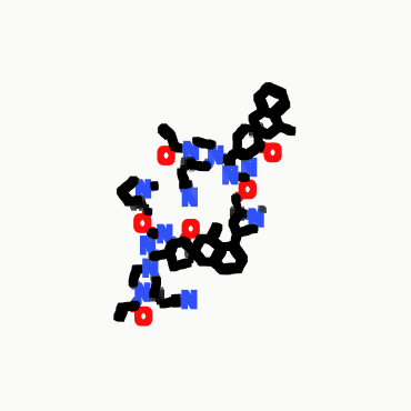 C=CC(=O)N1CCN(c2nc(OC[C@@H]3CCCN3C)nc3c2CC[C@@]2(CC(=C)c4c(cccc4C4C[C@@H](COc5nc6c(c(N7CCN(C(=O)C=C)[C@@H](CC#N)C7)n5)CC[C@]5(Cc7ccccc7C(C)C5)C6=O)N(C)C4)C2)C3=O)C[C@@H]1CC#N